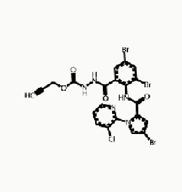 C#CCOC(=O)NNC(=O)c1cc(Br)cc(Br)c1NC(=O)c1cc(Br)cn1-c1ncccc1Cl